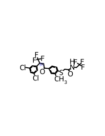 Cc1cc(C(=O)/C=C(\c2cc(Cl)cc(Cl)c2)C(F)(F)F)ccc1SCC(=O)NCC(F)(F)F